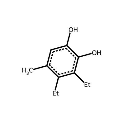 CCc1c(C)cc(O)c(O)c1CC